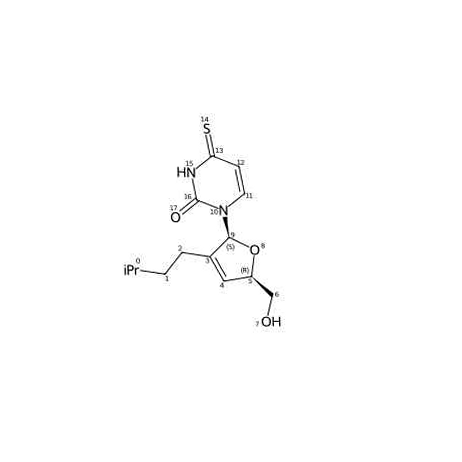 CC(C)CCC1=C[C@H](CO)O[C@@H]1n1ccc(=S)[nH]c1=O